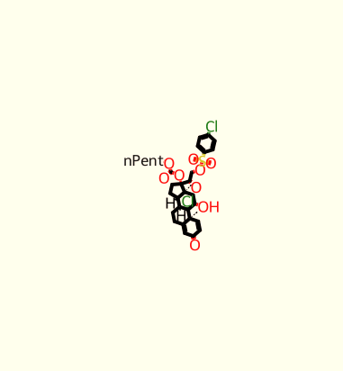 CCCCCOC(=O)O[C@]1(C(=O)COS(=O)(=O)c2ccc(Cl)cc2)CC[C@H]2[C@@H]3CCC4=CC(=O)C=C[C@]4(C)[C@@]3(Cl)C(O)C[C@@]21C